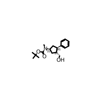 CN(C(=O)OC(C)(C)C)[C@@H]1C[C@@H](CO)[C@H](c2ccccc2)C1